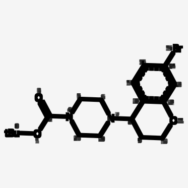 CC(C)(C)OC(=O)N1CCN(C2CCOc3cc(Br)ccc32)CC1